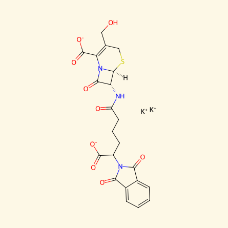 O=C(CCCC(C(=O)[O-])N1C(=O)c2ccccc2C1=O)N[C@@H]1C(=O)N2C(C(=O)[O-])=C(CO)CS[C@@H]12.[K+].[K+]